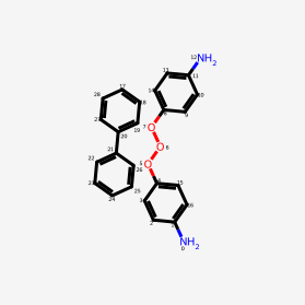 Nc1ccc(OOOc2ccc(N)cc2)cc1.c1ccc(-c2ccccc2)cc1